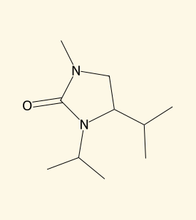 CC(C)C1CN(C)C(=O)N1C(C)C